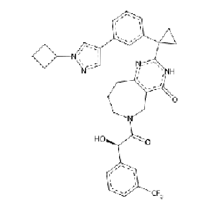 O=C([C@H](O)c1cccc(C(F)(F)F)c1)N1CCCc2nc(C3(c4cccc(-c5cnn(C6CCC6)c5)c4)CC3)[nH]c(=O)c2C1